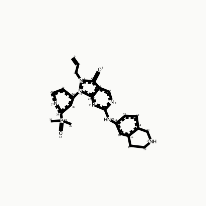 C=CCn1c(=O)c2cnc(Nc3ccc4c(c3)CCNC4)nc2n1-c1ccnc(P(C)(C)=O)c1